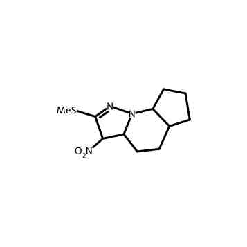 CSC1=NN2C3CCCC3CCC2C1[N+](=O)[O-]